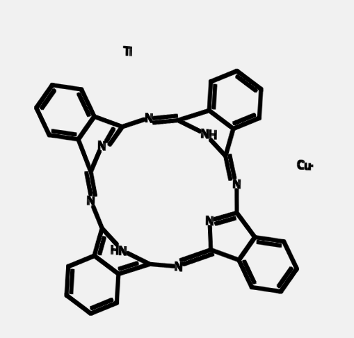 [Cu].[Ti].c1ccc2c(c1)-c1nc-2nc2[nH]c(nc3nc(nc4[nH]c(n1)c1ccccc41)-c1ccccc1-3)c1ccccc21